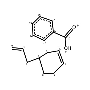 C=CCC1CC=CCC1.O=C(O)c1ccccc1